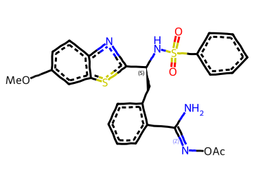 COc1ccc2nc([C@H](Cc3ccccc3/C(N)=N/OC(C)=O)NS(=O)(=O)c3ccccc3)sc2c1